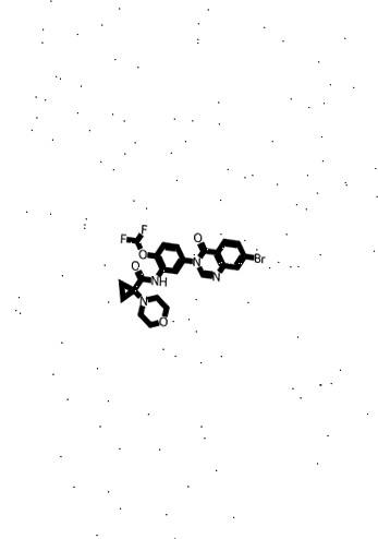 O=C(Nc1cc(-n2cnc3cc(Br)ccc3c2=O)ccc1OC(F)F)C1(N2CCOCC2)CC1